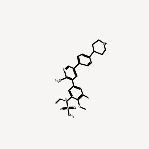 CC[C@@H](c1cc(-c2cc(-c3ccc(C4CCNCC4)cc3)cnc2N)cc(F)c1OC)S(N)(=O)=O